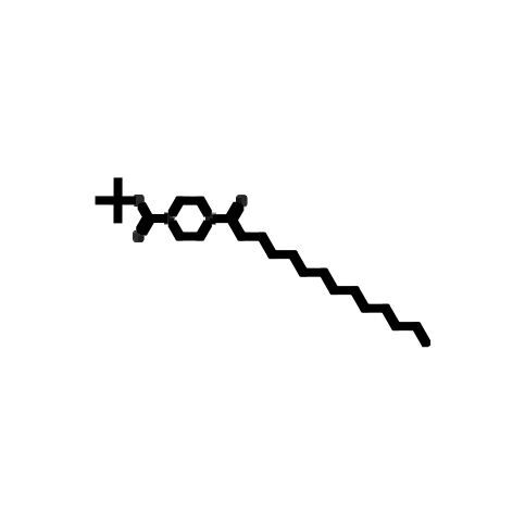 CCCCCCCCCCCCCC(=O)N1CCN(C(=O)OC(C)(C)C)CC1